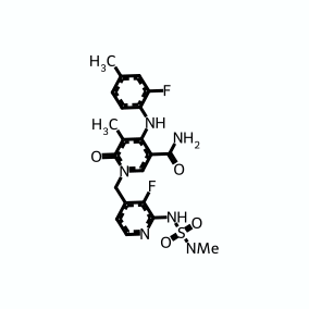 CNS(=O)(=O)Nc1nccc(Cn2cc(C(N)=O)c(Nc3ccc(C)cc3F)c(C)c2=O)c1F